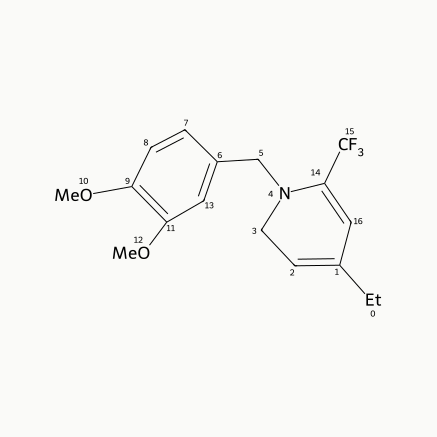 CCC1=CCN(Cc2ccc(OC)c(OC)c2)C(C(F)(F)F)=C1